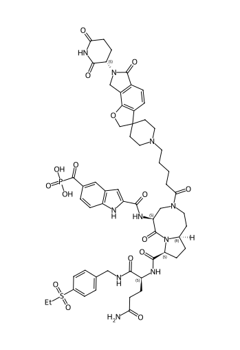 CCS(=O)(=O)c1ccc(CNC(=O)[C@H](CCC(N)=O)NC(=O)[C@@H]2CC[C@@H]3CCN(C(=O)CCCCN4CCC5(CC4)COc4c5ccc5c4CN([C@H]4CCC(=O)NC4=O)C5=O)C[C@H](NC(=O)c4cc5cc(C(=O)P(=O)(O)O)ccc5[nH]4)C(=O)N32)cc1